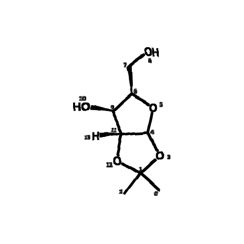 CC1(C)OC2O[C@H](CO)[C@H](O)[C@H]2O1